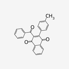 Cc1ccc(C2=C(C(=O)c3ccccc3)C(=O)c3ccccc3C2=O)cc1